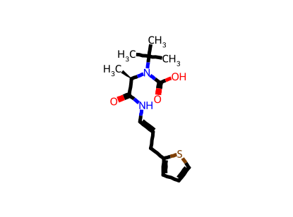 C[C@H](C(=O)NC=CCc1cccs1)N(C(=O)O)C(C)(C)C